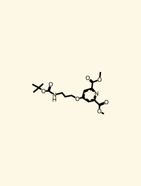 COC(=O)c1cc(OCCCNC(=O)OC(C)(C)C)cc(C(=O)OC)n1